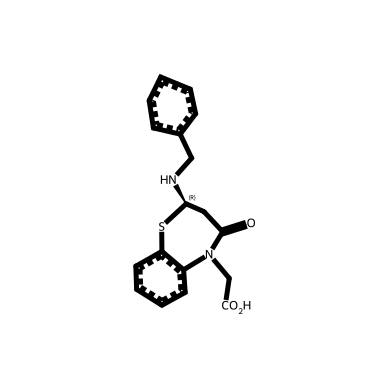 O=C(O)CN1C(=O)C[C@H](NCc2ccccc2)Sc2ccccc21